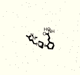 Cc1cc(CN2CC3CC2CN3c2ccccc2/C=C/C(=O)NO)n(C)n1